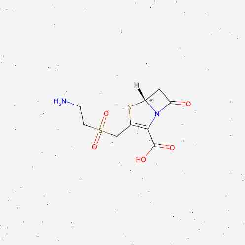 NCCS(=O)(=O)CC1=C(C(=O)O)N2C(=O)C[C@H]2S1